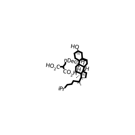 CC(C)CCC[C@@H](C)[C@H]1CC[C@H]2[C@@H]3CC=C4C[C@@H](O)CC[C@]4(C)[C@H]3CC[C@]12C.CCCCCCCCCCCC(C(=O)O)C(=O)O